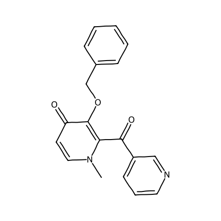 Cn1ccc(=O)c(OCc2ccccc2)c1C(=O)c1cccnc1